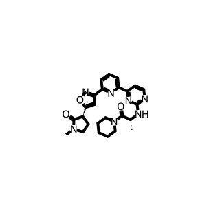 C[C@@H](Nc1nccc(-c2cccc(-c3cc([C@@H]4CCN(C)C4=O)on3)n2)n1)C(=O)N1CCCCC1